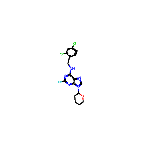 Fc1nc(NCc2ccc(Cl)cc2Cl)c2ncn(C3CCCCO3)c2n1